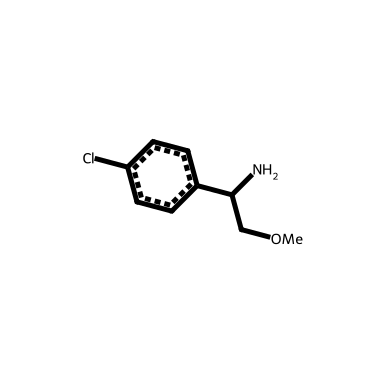 COCC(N)c1ccc(Cl)cc1